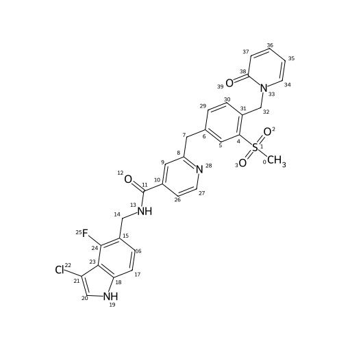 CS(=O)(=O)c1cc(Cc2cc(C(=O)NCc3ccc4[nH]cc(Cl)c4c3F)ccn2)ccc1Cn1ccccc1=O